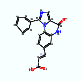 O=C(O)/C=C/c1ccc2c(c1)[nH]c(=O)c1cnc(-c3ccccc3)n12